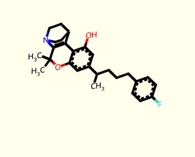 CC(CCCc1ccc(F)cc1)c1cc(O)c2c(c1)OC(C)(C)C1=C2C2CCN1CC2